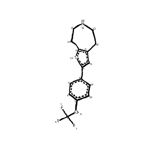 FC(F)(F)Oc1ccc(-c2cc3c(s2)CCNCC3)cc1